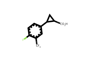 O=C(O)C1CC1c1ccc(F)c(C(F)(F)F)c1